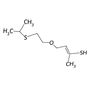 C/C(S)=C\COCCSC(C)C